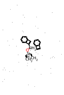 C1=Cc2ccccc21.C=C[SiH](C=C)O[SiH2]C1=Cc2ccccc21